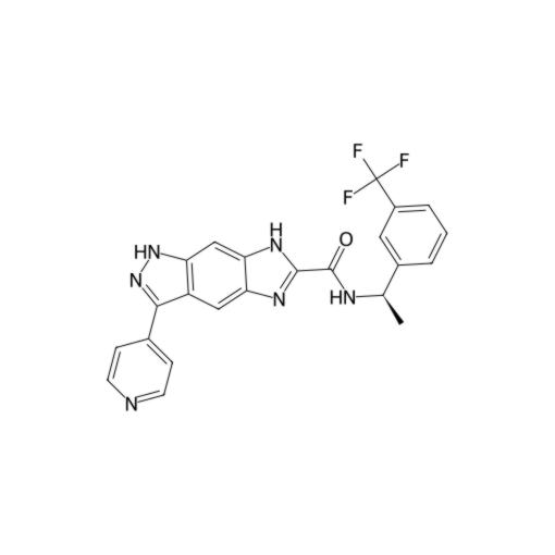 C[C@@H](NC(=O)c1nc2cc3c(-c4ccncc4)n[nH]c3cc2[nH]1)c1cccc(C(F)(F)F)c1